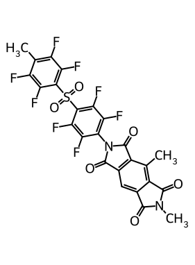 Cc1c(F)c(F)c(S(=O)(=O)c2c(F)c(F)c(-n3c(=O)c4cc5c(=O)n(C)c(=O)c5c(C)c4c3=O)c(F)c2F)c(F)c1F